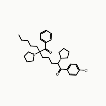 CCCCCC(CCCC(C(=O)c1ccc(Cl)cc1)N1CCCC1)(C(=O)c1ccccc1)N1CCCC1